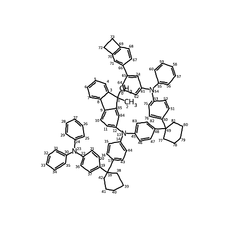 CC1(C)c2ccccc2-c2ccc(N(c3ccc(C4(c5ccc(N(c6ccccc6)c6ccccc6)cc5)CCCCC4)cc3)c3ccc(C4(c5ccc(N(c6ccccc6)c6cccc(-c7ccc8c(c7)CC8)c6)cc5)CCCCC4)cc3)cc21